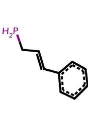 PC/C=C/c1ccccc1